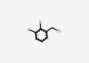 FC(F)(F)Cc1cccc(Cl)c1Cl